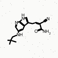 CC(C)(C)CNc1cnc2[nH]cc(CC=C(C#N)C(N)=O)c2c1